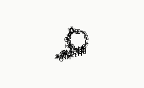 CC[C@H]1C[C@@]1(NC(=O)C1C[C@@H]2CN1C(=O)[C@H](C(C)(C)C)NC(=O)OCCCCCCCCOc1cccc3c1CN(C3)C(=O)O2)C(=O)NS(=O)(=O)C1CC1